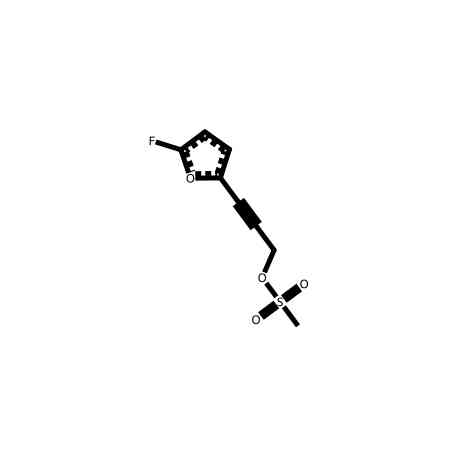 CS(=O)(=O)OCC#Cc1ccc(F)o1